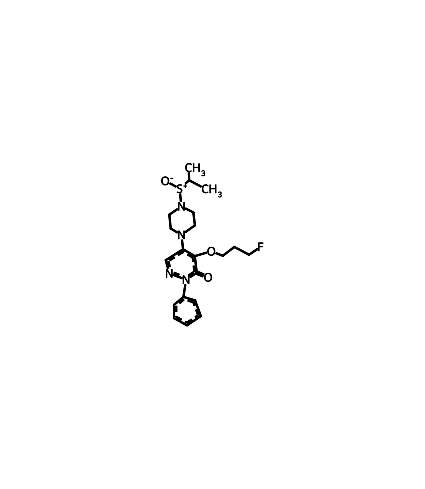 CC(C)[S+]([O-])N1CCN(c2cnn(-c3ccccc3)c(=O)c2OCCCF)CC1